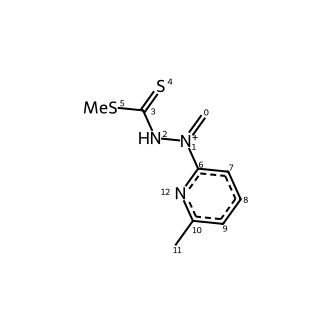 C=[N+](NC(=S)SC)c1cccc(C)n1